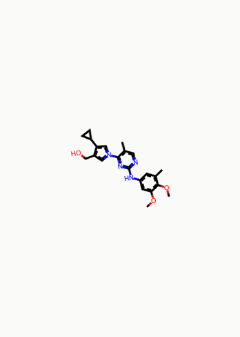 COc1cc(Nc2ncc(C)c(-n3cc(CO)c(C4CC4)c3)n2)cc(C)c1OC